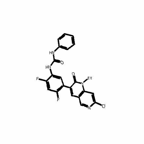 CCn1c(=O)c(-c2cc(NC(=O)Nc3ccccc3)c(F)cc2F)cc2cnc(Cl)cc21